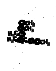 CCc1ccccc1.CCc1ccccc1.CCc1ccccc1.Cc1ccccc1.Cc1ccccc1.Cc1ccccc1